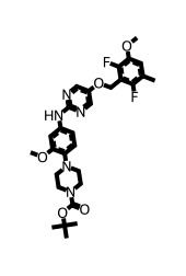 COc1cc(Nc2ncc(OCc3c(F)c(C)cc(OC)c3F)cn2)ccc1N1CCN(C(=O)OC(C)(C)C)CC1